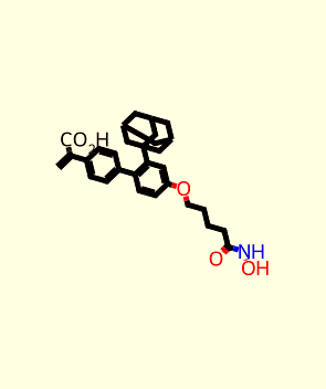 C=C(C(=O)O)c1ccc(-c2ccc(OCCCCC(=O)NO)cc2C23CC4CC(CC(C4)C2)C3)cc1